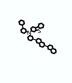 c1ccc(-c2cccc(N(c3cccc(-c4ccc5cc(-c6ccc7ccccc7c6)ccc5c4)c3)c3ccc4c(c3)sc3ccccc34)c2)cc1